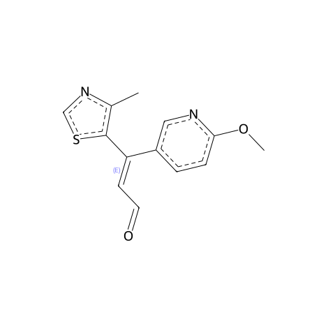 COc1ccc(/C(=C\C=O)c2scnc2C)cn1